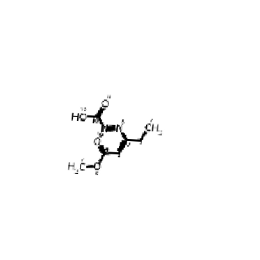 CCC(=CC(=O)OC)N=NC(=O)O